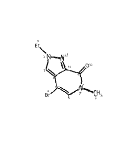 CCn1cc2c(Br)cn(C)c(=O)c2n1